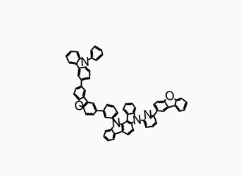 c1ccc(-n2c3ccccc3c3cc(-c4ccc5oc6ccc(-c7cccc(-n8c9ccccc9c9ccc%10c(c%11ccccc%11n%10-c%10cccc(-c%11ccc%12oc%13ccccc%13c%12c%11)n%10)c98)c7)cc6c5c4)ccc32)cc1